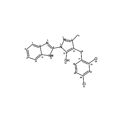 Cc1nn(-c2nc3ccccc3[nH]2)c(O)c1Cc1ccc(Cl)cc1Cl